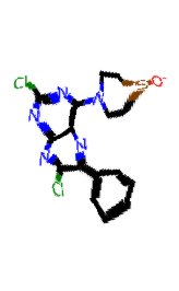 [O-][S+]1CCN(c2nc(Cl)nc3nc(Cl)c(-c4ccccc4)nc23)CC1